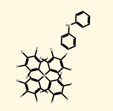 Fc1c(F)c(F)c([B-](c2c(F)c(F)c(F)c(F)c2F)(c2c(F)c(F)c(F)c(F)c2F)c2c(F)c(F)c(F)c(F)c2F)c(F)c1F.c1ccc([SH+]c2ccccc2)cc1